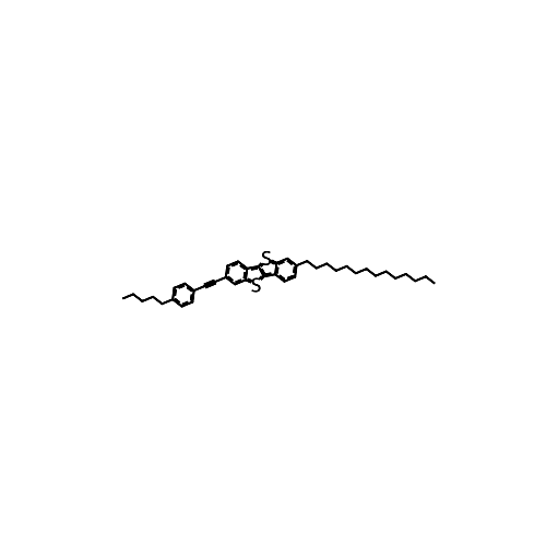 CCCCCCCCCCCCCCc1ccc2c(c1)sc1c3ccc(C#Cc4ccc(CCCCC)cc4)cc3sc21